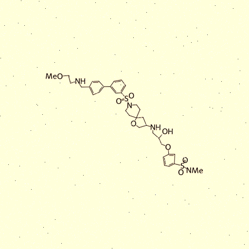 CNS(=O)(=O)c1cccc(OCC(O)CNC2COC3(CCN(S(=O)(=O)c4cccc(-c5ccc(CNCCOC)cc5)c4)CC3)C2)c1